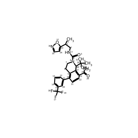 CC(CNC(=O)N1CCc2c(-c3cccc(C(F)(F)F)c3)ccc(C(N)=O)c2C1C(C)(C)C)c1ccno1